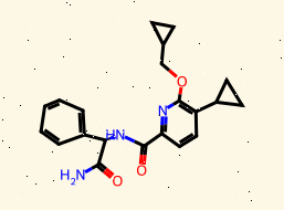 NC(=O)[C@H](NC(=O)c1ccc(C2CC2)c(OCC2CC2)n1)c1ccccc1